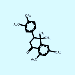 CC(=O)Oc1cc(OC(C)=O)c2c(c1)C(C)(C)C(c1ccc(OC(C)=O)c(OC(C)=O)c1)CC2=O